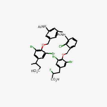 CC(=O)Nc1cc(C)cc(COc2c(Br)cc(C(C)CC(=O)O)cc2Br)c1.CC(=O)Nc1cccc(COc2c(Br)cc(CC(F)C(=O)O)cc2Br)c1Cl